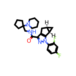 O=C(NCC1(N2CCCCC2)CCCC1)c1nn(-c2ccc(F)cc2F)c2c1C[C@H]1C[C@@H]21